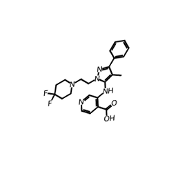 Cc1c(-c2ccccc2)nn(CCN2CCC(F)(F)CC2)c1Nc1cnccc1C(=O)O